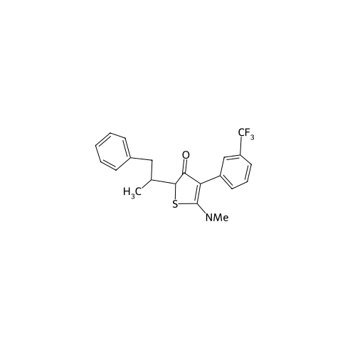 CNC1=C(c2cccc(C(F)(F)F)c2)C(=O)C(C(C)Cc2ccccc2)S1